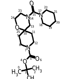 CC(C)(C)OC(=O)N1CCC2(CC1)CN(C(=O)N1CCCCC1)CCO2